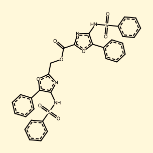 O=C(OCc1nc(NS(=O)(=O)c2ccccc2)c(-c2ccccc2)o1)c1nc(NS(=O)(=O)c2ccccc2)c(-c2ccccc2)o1